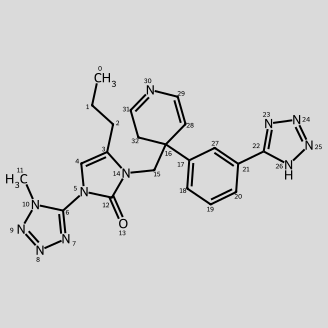 CCCc1cn(-c2nnnn2C)c(=O)n1CC1(c2cccc(-c3nnn[nH]3)c2)C=CN=CC1